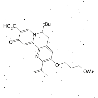 C=C(C)c1nc2c(cc1OCCCOC)CC(C(C)(C)C)n1cc(C(=O)O)c(=O)cc1-2